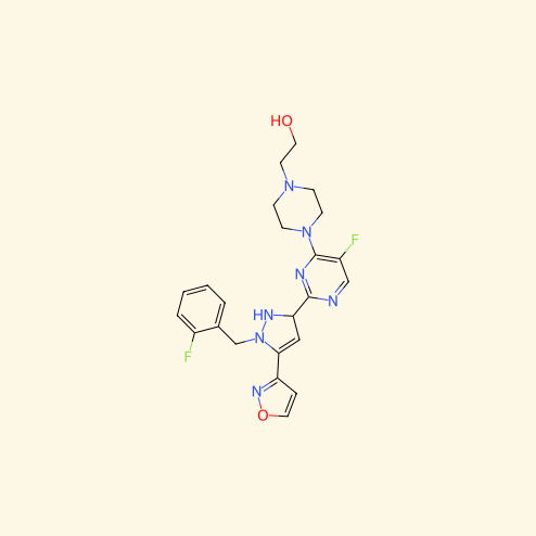 OCCN1CCN(c2nc(C3C=C(c4ccon4)N(Cc4ccccc4F)N3)ncc2F)CC1